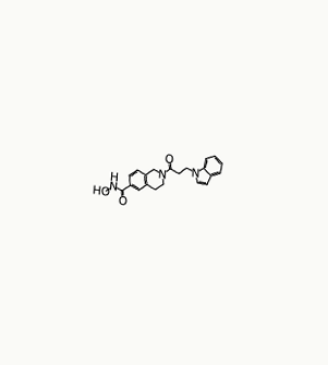 O=C(NO)c1ccc2c(c1)CCN(C(=O)CCn1ccc3ccccc31)C2